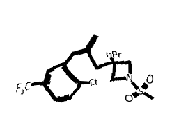 C=C(Cc1cc(C(F)(F)F)ccc1CC)CC1(CCC)CN(S(C)(=O)=O)C1